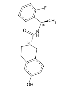 C[C@@H](NC(=O)[C@H]1CCc2cc(O)ccc2C1)c1ccccc1F